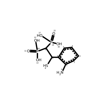 Nc1ccccc1C(S)C(P(=O)(O)O)P(=O)(O)O